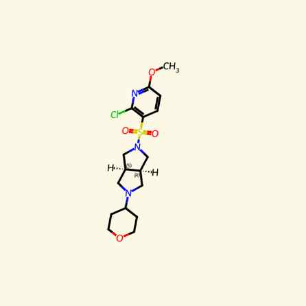 COc1ccc(S(=O)(=O)N2C[C@H]3CN(C4CCOCC4)C[C@H]3C2)c(Cl)n1